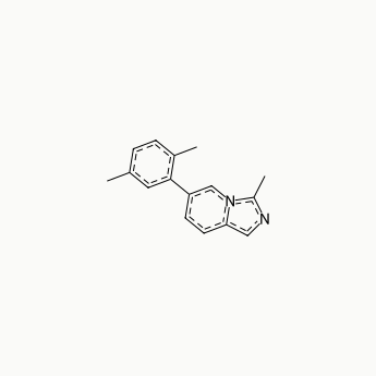 Cc1ccc(C)c(-c2ccc3cnc(C)n3c2)c1